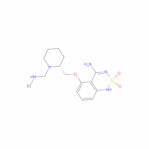 CCNCN1CCCC[C@@H]1COc1cccc2c1C(N)=NS(=O)(=O)N2